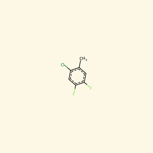 Cc1cc(F)c(F)cc1Cl